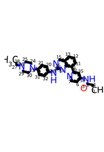 C=CC(=O)Nc1ccnc(-c2cccc3cnc(Nc4ccc(N5CCN(CC)CC5)cc4)nc23)c1